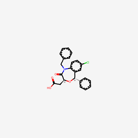 O=C(O)C[C@@H]1O[C@@H](c2ccccc2)c2cc(Cl)ccc2N(Cc2ccccc2)C1=O